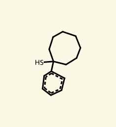 SC1(c2ccccc2)CCCCCCC1